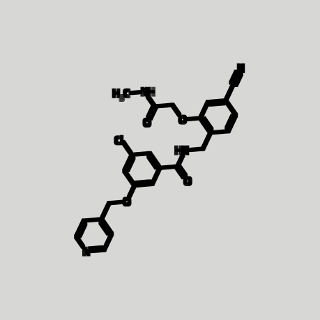 CNC(=O)COc1cc(C#N)ccc1CNC(=O)c1cc(Cl)cc(OCc2ccncc2)c1